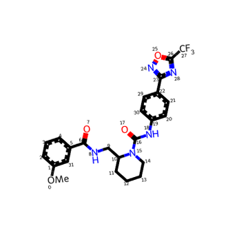 COc1cccc(C(=O)NCC2CCCCN2C(=O)Nc2ccc(-c3noc(C(F)(F)F)n3)cc2)c1